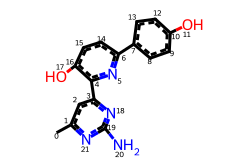 Cc1cc(-c2nc(-c3ccc(O)cc3)ccc2O)nc(N)n1